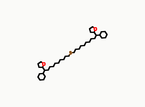 C(CCCCSCCCCCCCCCC(C1CCCCC1)C1CCCO1)CCCCC(C1CCCCC1)C1CCCO1